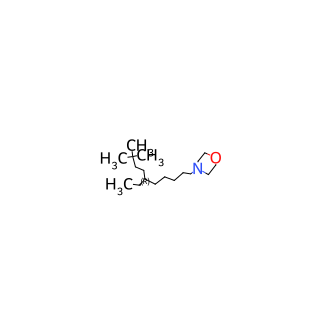 CC[C@H](CCCCCN1CCOCC1)CCC(C)(C)C